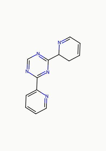 C1=CCC(c2ncnc(-c3ccccn3)n2)N=C1